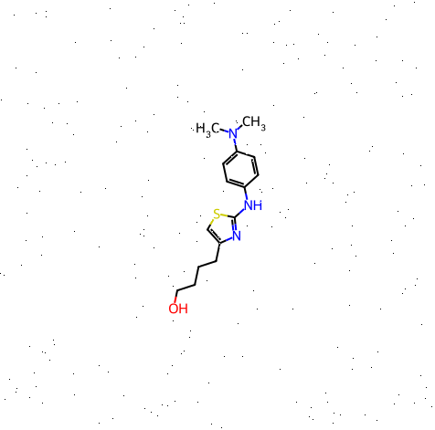 CN(C)c1ccc(Nc2nc(CCCCO)cs2)cc1